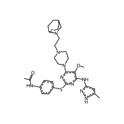 COc1c(Nc2cc(C)[nH]n2)nc(Sc2ccc(NC(C)=O)cc2)nc1N1CCN(CCN2CC3CCCC2CC3)CC1